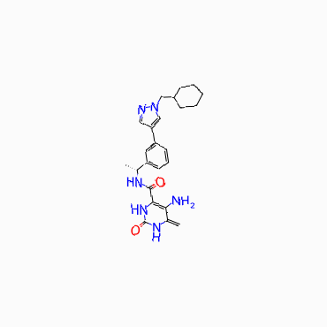 C=C1NC(=O)NC(C(=O)N[C@H](C)c2cccc(-c3cnn(CC4CCCCC4)c3)c2)=C1N